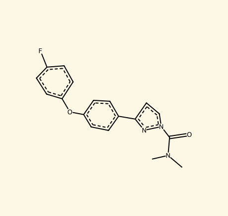 CN(C)C(=O)n1ccc(-c2ccc(Oc3ccc(F)cc3)cc2)n1